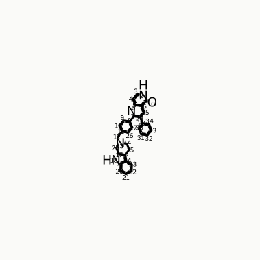 O=c1[nH]ccc2nc(-c3ccc(CN4CCc5c([nH]c6ccccc56)C4)cc3)c(-c3ccccc3)cc12